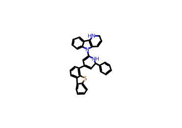 C1=Cc2c(c3ccccc3n2C2=CC(c3cccc4c3sc3ccccc34)=CC(c3ccccc3)N2)NC1